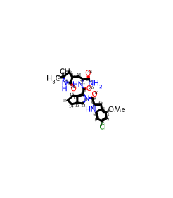 COc1cc(Cl)cc2[nH]c(C(=O)N3CC4CCCC4C3C(=O)NC(CC3CC(C)(C)NC3=O)C(N)=O)cc12